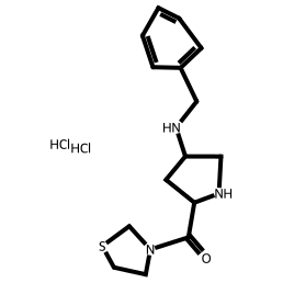 Cl.Cl.O=C(C1CC(NCc2ccccc2)CN1)N1CCSC1